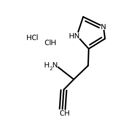 C#CC(N)Cc1cnc[nH]1.Cl.Cl